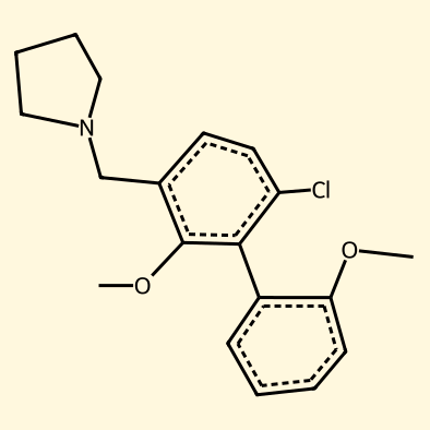 COc1ccccc1-c1c(Cl)ccc(CN2CCCC2)c1OC